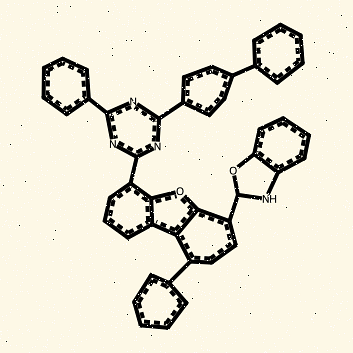 c1ccc(-c2ccc(-c3nc(-c4ccccc4)nc(-c4cccc5c4oc4c(C6Nc7ccccc7O6)ccc(-c6ccccc6)c45)n3)cc2)cc1